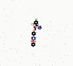 O=S(=O)(c1ccccc1)N1CCN(c2ccc(OCC3COC(Cn4ccnc4)(c4ccc(Cl)cc4Cl)O3)cc2)CC1